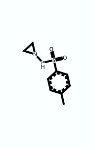 Cc1ccc(S(=O)(=O)PN2CC2)cc1